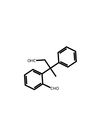 CC(CC=O)(c1ccccc1)c1ccccc1C=O